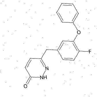 O=c1ccc(Cc2ccc(F)c(Oc3ccccc3)c2)n[nH]1